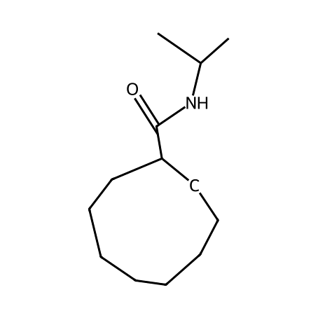 CC(C)NC(=O)C1CCCCCCCC1